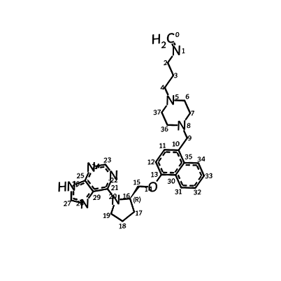 C=NCCCN1CCN(Cc2ccc(OC[C@H]3CCCN3c3ncnc4[nH]cnc34)c3ccccc23)CC1